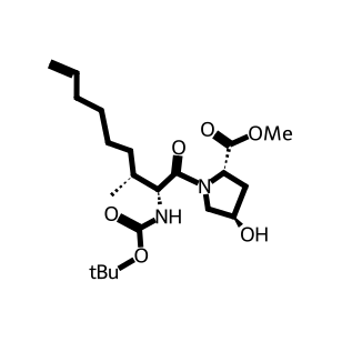 C=CCCCC[C@@H](C)[C@@H](NC(=O)OC(C)(C)C)C(=O)N1C[C@H](O)C[C@H]1C(=O)OC